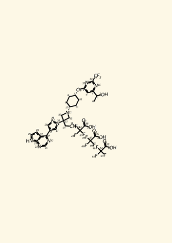 CC(O)c1cc(O[C@H]2CC[C@@H](N3CC(CC#N)(n4cc(-c5ncnc6[nH]ccc56)cn4)C3)CC2)nc(C(F)(F)F)n1.O=C(O)C(F)(F)F.O=C(O)C(F)(F)F.O=C(O)C(F)(F)F